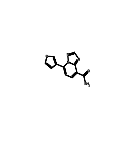 NC(=O)c1ccc(-c2ccoc2)n2n[c]nc12